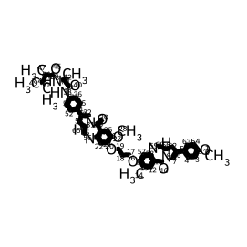 COc1ccc(C2=CN3C(=O)c4cc(C)c(OCCCOc5cc6c(cc5OC)C(=O)N5C=C(c7ccc(NC(=O)[C@H](C)NC(=O)[C@@H](C)C(C)C)cc7)C[C@H]5C=N6)cc4N=C[C@@H]3C2)cc1